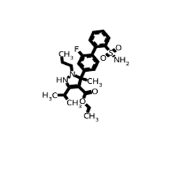 CCCN1NC(C(C)C)=C(C(=O)OCC)C1(C)c1ccc(-c2ccccc2S(N)(=O)=O)c(F)c1